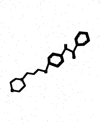 O=C(Nc1ccc(OCCCN2CCOCC2)cc1)c1ccccc1